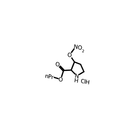 CCCOC(=O)C1NCCC1O[N+](=O)[O-].Cl